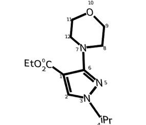 CCOC(=O)c1cn(C(C)C)nc1N1CCOCC1